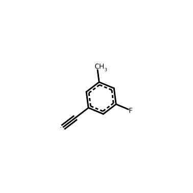 [C]#Cc1cc(C)cc(F)c1